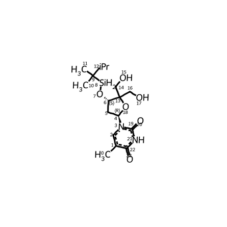 Cc1cn([C@H]2C[C@H](O[SiH2]C(C)(C)C(C)C)C(CO)(CO)O2)c(=O)[nH]c1=O